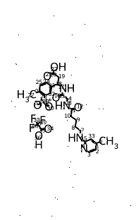 Cc1ccnc(NCCCCC(=O)NCC(=O)NC(CC(=O)O)c2ccc(C)c([N+](=O)[O-])c2)c1.O=C(O)C(F)(F)F